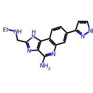 CCNCc1nc2c(N)nc3cc(-c4cc[nH]n4)ccc3c2[nH]1